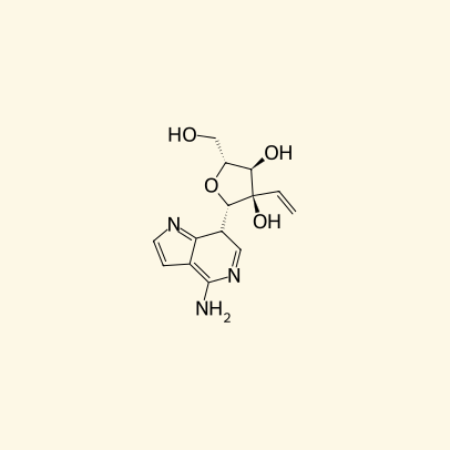 C=C[C@@]1(O)[C@H](O)[C@@H](CO)O[C@H]1C1C=NC(N)=C2C=CN=C21